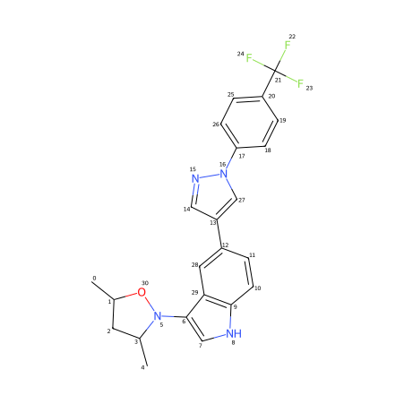 CC1CC(C)N(c2c[nH]c3ccc(-c4cnn(-c5ccc(C(F)(F)F)cc5)c4)cc23)O1